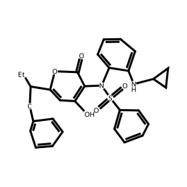 CCC(Cc1ccccc1)c1cc(O)c(N(c2ccccc2NC2CC2)S(=O)(=O)c2ccccc2)c(=O)o1